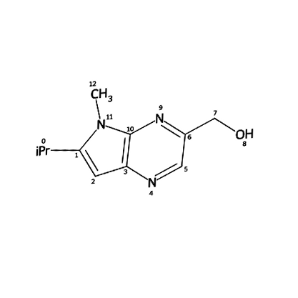 CC(C)c1cc2ncc(CO)nc2n1C